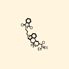 CCN(CC)C(=O)[C@@H]1C=C2c3cccc4c3c(cn4CCCN3C(=O)c4ccccc4C3=O)C[C@H]2N(C)C1